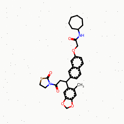 Cc1cc2c(cc1C(CC(=O)N1CCSC1=O)c1ccc3ccc(OCC(=O)NC4CCCCCC4)cc3c1)OCO2